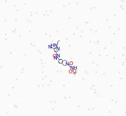 CCCNc1ncc(-c2nc(-c3ccc4c(c3)CCN(C(=O)CNC(=O)OC(C)(C)C)CC4)no2)cc1C#N